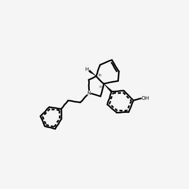 Oc1cccc([C@]23CC=CC[C@H]2CN(CCc2ccccc2)C3)c1